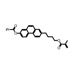 C=C(C)C(=O)OCCCCc1ccc2c(ccc3cc(OC(=O)C(C)C)ccc32)c1